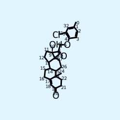 Cc1ccc(OCC(=O)[C@@]2(O)CCC3C4CCC5=CC(=O)CCC5(C)C4CCC32C)c(Cl)c1